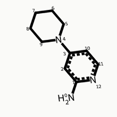 Nc1cc(N2CCCCC2)ccn1